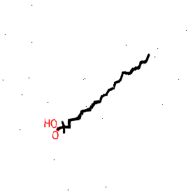 CCCCCCCCCCCCCCCCCCCCC(C)(C)C(=O)O